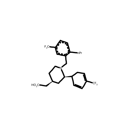 CCCc1ccc(C(F)(F)F)cc1CN1CC[C@H](CC(=O)O)C[C@@H]1C1C=CC(C(F)(F)F)=CC1